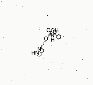 O=C(N[C@@H](CCOCCCCc1ccc2c(n1)NCCC2)C(=O)O)c1ccccc1